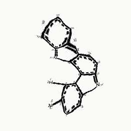 [2H]c1ccc2c(c1[2H])-c1c3c(ccc1=N2)=c1ccccc1=N3